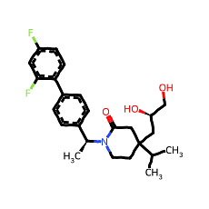 CC(C)C1(C[C@@H](O)CO)CCN([C@@H](C)c2ccc(-c3ccc(F)cc3F)cc2)C(=O)C1